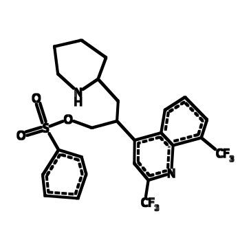 O=S(=O)(OCC(CC1CCCCN1)c1cc(C(F)(F)F)nc2c(C(F)(F)F)cccc12)c1ccccc1